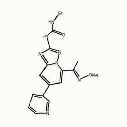 CCNC(=O)Nc1nc2cc(-c3cccnc3)cc(/C(C)=N/OC)n2n1